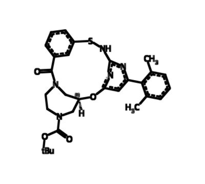 Cc1cccc(C)c1-c1cc2nc(n1)NSc1cccc(c1)C(=O)N1CCN(C(=O)OC(C)(C)C)C[C@@H](C1)O2